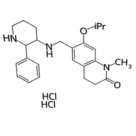 CC(C)Oc1cc2c(cc1CNC1CCCNC1c1ccccc1)CCC(=O)N2C.Cl.Cl